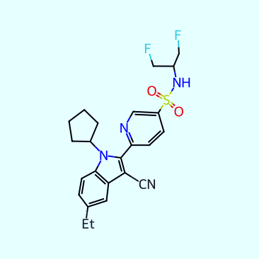 CCc1ccc2c(c1)c(C#N)c(-c1ccc(S(=O)(=O)NC(CF)CF)cn1)n2C1CCCC1